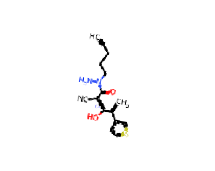 C#CCCCN(N)C(=O)/C(C#N)=C(/O)C(=C)c1ccsc1